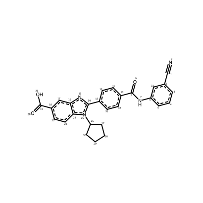 N#Cc1cccc(NC(=O)c2ccc(-c3nc4cc(C(=O)O)ccc4n3C3CCCC3)cc2)c1